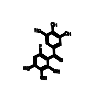 O=C(c1cc(O)c(O)c(O)c1)c1c(F)cc(O)c(O)c1O